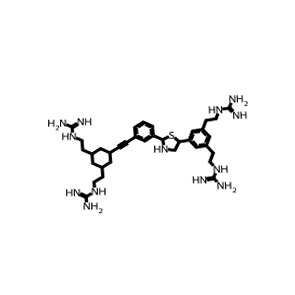 N=C(N)NCCc1cc(CCNC(=N)N)cc(C2CNC(c3cccc(C#CC4CC(CCNC(=N)N)CC(CCNC(=N)N)C4)c3)S2)c1